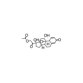 CC(=O)OCC(=O)[C@@]1(O)CC[C@H]2[C@@H]3CCC4=CC(=O)C=C[C@]4(C)[C@@]3(Cl)[C@@H](O)C[C@@]21C